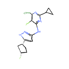 Fc1c(Cl)nc(C2CC2)nc1Nc1cc([C@H]2C[C@@H](F)C2)[nH]n1